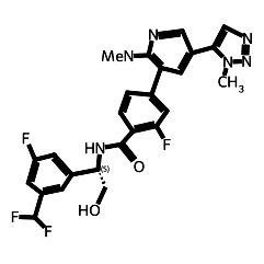 CNc1ncc(-c2cnnn2C)cc1-c1ccc(C(=O)N[C@H](CO)c2cc(F)cc(C(F)F)c2)c(F)c1